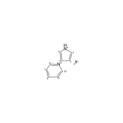 [Ir].c1cc[nH]c1.c1ccncc1